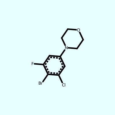 Fc1cc(N2CCOCC2)cc(Cl)c1Br